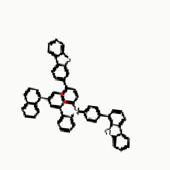 c1cc(-c2ccccc2N(c2ccc(-c3ccc4c(c3)sc3ccccc34)cc2)c2ccc(-c3cccc4c3oc3ccccc34)cc2)cc(-c2cccc3ccccc23)c1